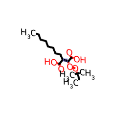 CCCCCCCC/C(C(=O)O)=C(/OOC(C)(C)CC)C(=O)O